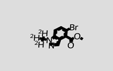 [2H]C([2H])([2H])n1ncc2c(C(=O)OC)c(Br)ccc21